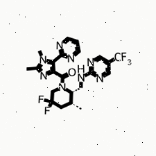 Cc1nc(C(=O)N2CC(F)(F)C[C@@H](C)[C@H]2CNc2ncc(C(F)(F)F)cn2)c(-c2ncccn2)n1C